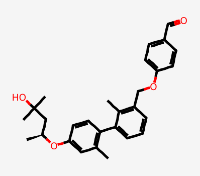 Cc1cc(O[C@@H](C)CC(C)(C)O)ccc1-c1cccc(COc2ccc(C=O)cc2)c1C